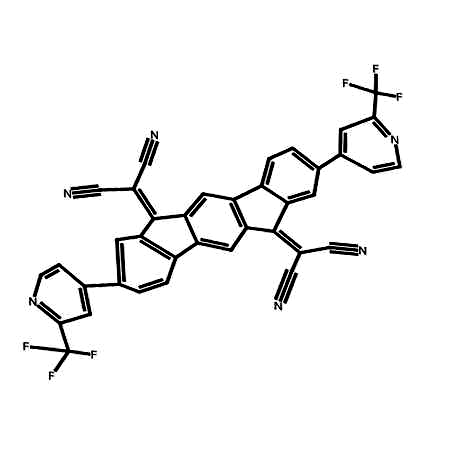 N#CC(C#N)=C1c2cc(-c3ccnc(C(F)(F)F)c3)ccc2-c2cc3c(cc21)-c1ccc(-c2ccnc(C(F)(F)F)c2)cc1C3=C(C#N)C#N